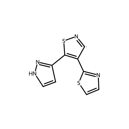 [c]1nsc(-c2cc[nH]n2)c1-c1nccs1